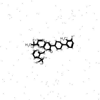 Cc1c(F)cccc1C1CCC(c2cc3ncc(C(C)(F)F)nc3n(Cc3ncccc3C(F)(F)F)c2=O)CC1